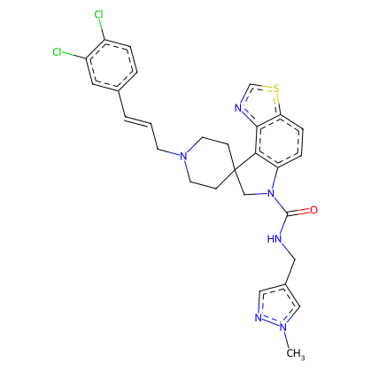 Cn1cc(CNC(=O)N2CC3(CCN(CC=Cc4ccc(Cl)c(Cl)c4)CC3)c3c2ccc2scnc32)cn1